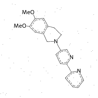 COc1cc2c(cc1OC)CN(c1ccc(-c3ccccn3)nc1)CC2